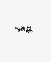 O=C(Nc1ccccc1)Nc1ncc(CCNc2ncnc3cc(-c4cnn(CCN5CCCC5)c4)sc23)s1